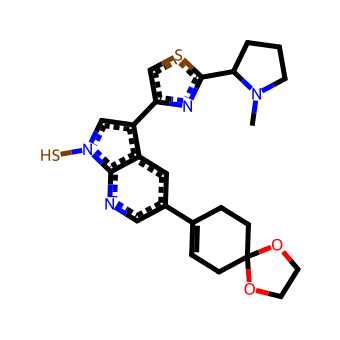 CN1CCCC1c1nc(-c2cn(S)c3ncc(C4=CCC5(CC4)OCCO5)cc23)cs1